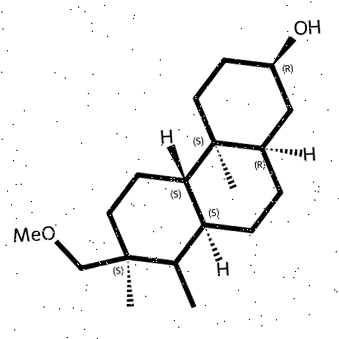 COC[C@@]1(C)CC[C@H]2[C@@H](CC[C@@H]3C[C@H](O)CC[C@@]32C)C1C